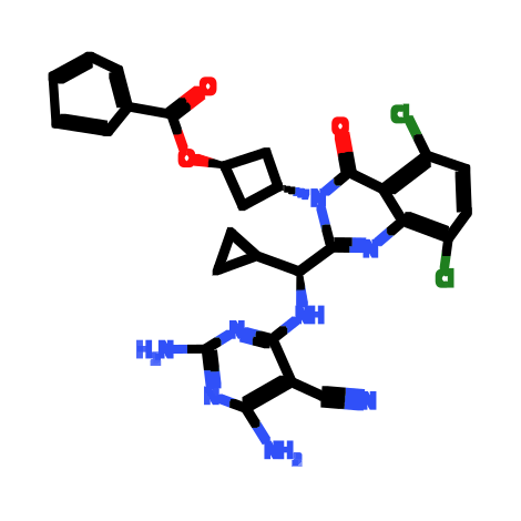 N#Cc1c(N)nc(N)nc1N[C@H](c1nc2c(Cl)ccc(Cl)c2c(=O)n1[C@H]1C[C@H](OC(=O)c2ccccc2)C1)C1CC1